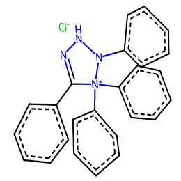 [Cl-].c1ccc(C2=NNN(c3ccccc3)[N+]2(c2ccccc2)c2ccccc2)cc1